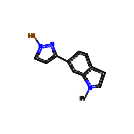 CC(C)n1ccc2ccc(-c3ccn(S)n3)cc21